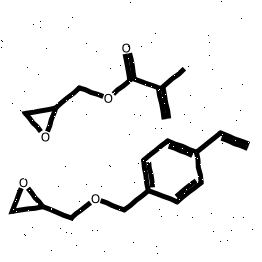 C=C(C)C(=O)OCC1CO1.C=Cc1ccc(COCC2CO2)cc1